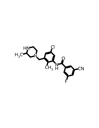 Cc1c(CN2CCNC(C)C2)cc(Cl)cc1NC(=O)c1cc(F)cc(C#N)c1